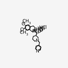 COc1cc2c(cc1OC)CN(CC1CCCN(Cc3ccncc3)C1)CC2.Cl.Cl.Cl.O.O